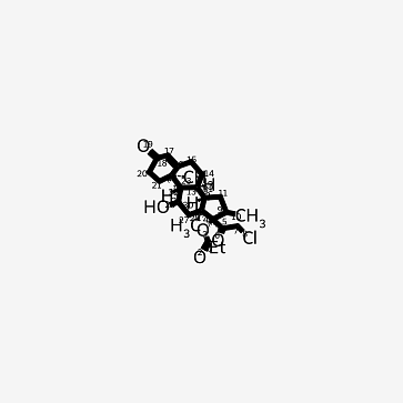 CCC(=O)O[C@]1(C(=O)CCl)C(C)C[C@H]2[C@@H]3CCC4=CC(=O)CC[C@]4(C)[C@H]3C(O)C[C@@]21C